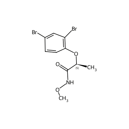 CONC(=O)[C@H](C)Oc1ccc(Br)cc1Br